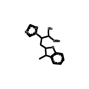 COC(C(CC1Oc2ccccc2C1C)n1cncn1)C(C)(C)C